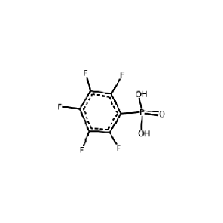 O=P(O)(O)c1c(F)c(F)c(F)c(F)c1F